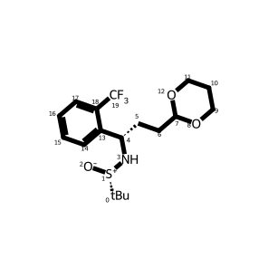 CC(C)(C)[S@+]([O-])N[C@@H](CCC1OCCCO1)c1ccccc1C(F)(F)F